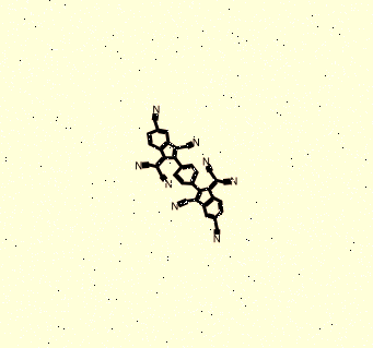 N#CC(C#N)=C1C(c2ccc(C3=C(C#N)c4cc(C#N)ccc4C3=C(C#N)C#N)cc2)=C(C#N)c2cc(C#N)ccc21